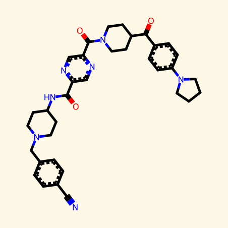 N#Cc1ccc(CN2CCC(NC(=O)c3cnc(C(=O)N4CCC(C(=O)c5ccc(N6CCCC6)cc5)CC4)cn3)CC2)cc1